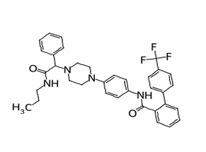 CCCNC(=O)C(c1ccccc1)N1CCN(c2ccc(NC(=O)c3ccccc3-c3ccc(C(F)(F)F)cc3)cc2)CC1